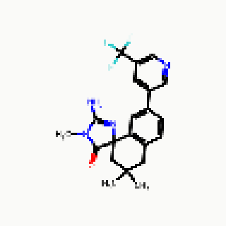 CN1C(=O)C2(CC(C)(C)Cc3ccc(-c4cncc(C(F)(F)F)c4)cc32)N=C1N